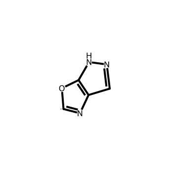 [c]1nc2cn[nH]c2o1